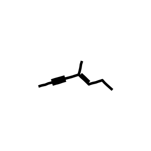 CC#C/C(C)=C/CC